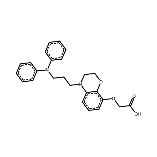 O=C(O)COc1cccc2c1OCCN2CCCN(c1ccccc1)c1ccccc1